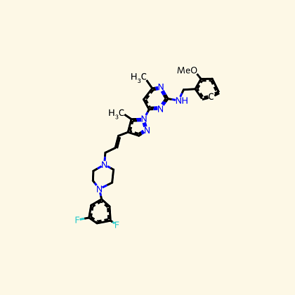 COc1ccccc1CNc1nc(C)cc(-n2ncc(/C=C/CN3CCN(c4cc(F)cc(F)c4)CC3)c2C)n1